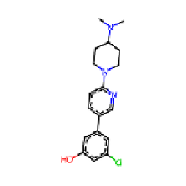 CN(C)C1CCN(c2ccc(-c3cc(O)cc(Cl)c3)cn2)CC1